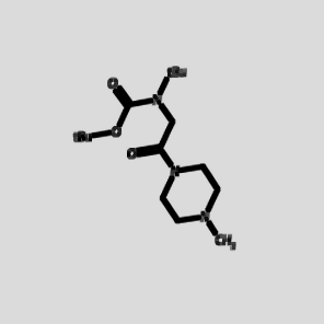 CN1CCN(C(=O)CN(C(=O)OC(C)(C)C)C(C)(C)C)CC1